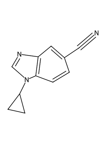 N#Cc1ccc2c(c1)ncn2C1CC1